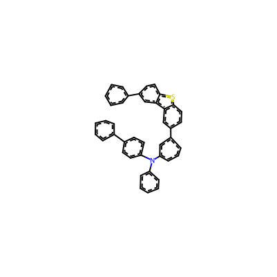 c1ccc(-c2ccc(N(c3ccccc3)c3cccc(-c4ccc5sc6ccc(-c7ccccc7)cc6c5c4)c3)cc2)cc1